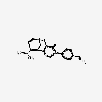 C=Cc1ccc(-n2cnc3c(c2=O)SN2C=CC(N(C)C)=C3C2)cc1